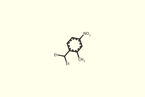 CCC(CC)c1ccc([N+](=O)[O-])cc1C